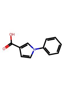 O=C(O)c1ccn(-c2ccccc2)c1